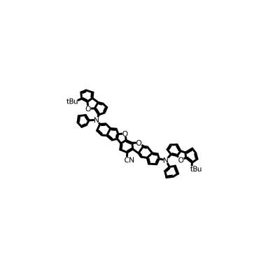 CC(C)(C)c1cccc2c1oc1c(N(c3ccccc3)c3ccc4cc5c(cc4c3)oc3c5cc(C#N)c4c5cc6ccc(N(c7ccccc7)c7cccc8c7oc7c(C(C)(C)C)cccc78)cc6cc5oc34)cccc12